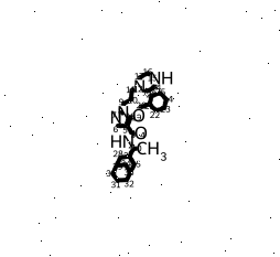 CC(NC(=O)c1cnn(CCCN2CCNCC2)c1OCC1CCCCC1)C1CC2CCCC(C2)C1